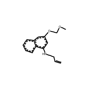 C=CCNc1cc(OCOC)cc2ccccc12